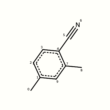 Cc1[c]cc(C#N)c(C)c1